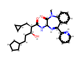 CN1C(=O)C(NC(=O)[C@H](CC2CC2)[C@@H](O)CCC2CCCC2)N=C(c2ccccn2)c2ccccc21